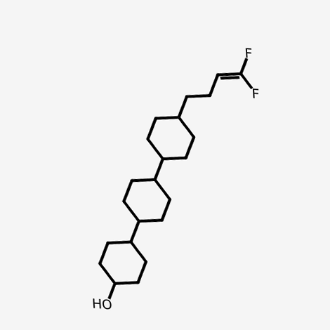 OC1CCC(C2CCC(C3CCC(CCC=C(F)F)CC3)CC2)CC1